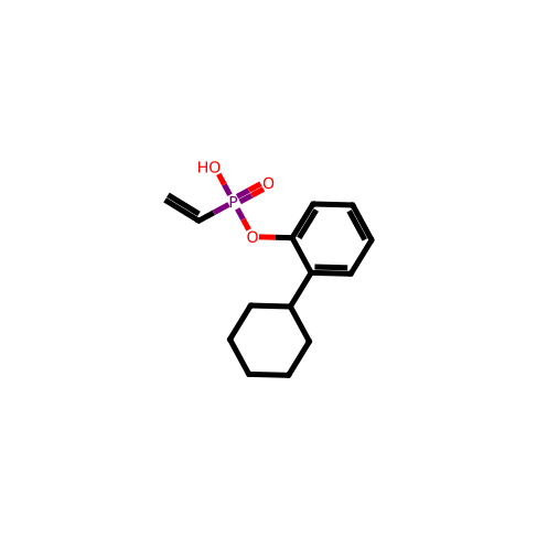 C=CP(=O)(O)Oc1ccccc1C1CCCCC1